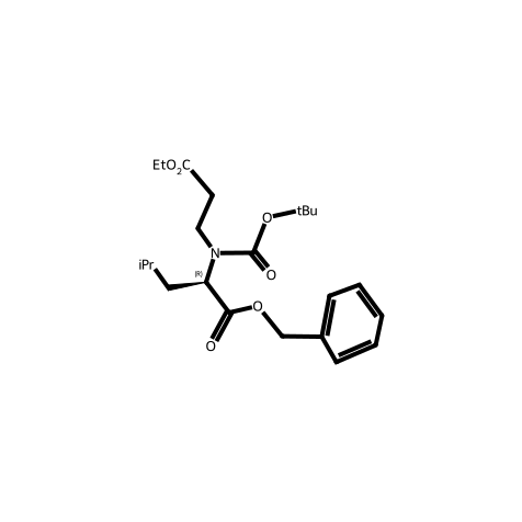 CCOC(=O)CCN(C(=O)OC(C)(C)C)[C@H](CC(C)C)C(=O)OCc1ccccc1